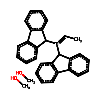 CO.CO.C[CH]=[Ti]([CH]1c2ccccc2-c2ccccc21)[CH]1c2ccccc2-c2ccccc21